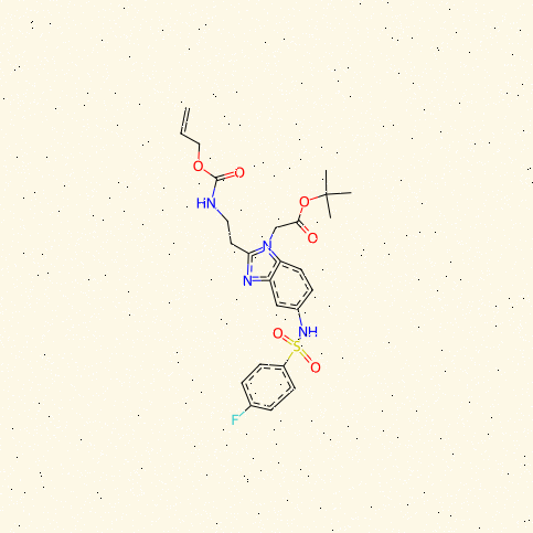 C=CCOC(=O)NCCc1nc2cc(NS(=O)(=O)c3ccc(F)cc3)ccc2n1CC(=O)OC(C)(C)C